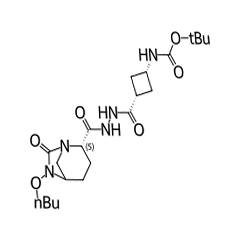 CCCCON1C(=O)N2CC1CC[C@H]2C(=O)NNC(=O)[C@H]1C[C@@H](NC(=O)OC(C)(C)C)C1